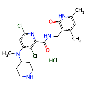 Cc1cc(C)c(CNC(=O)c2nc(Cl)cc(N(C)C3CCNCC3)c2Cl)c(=O)[nH]1.Cl